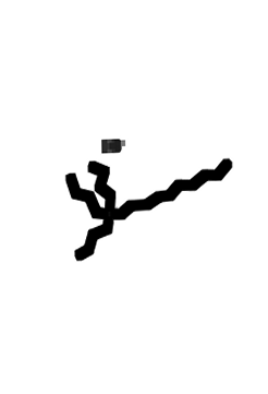 CCCCCCCCCC[P+](CCCC)(CCCC)CCCC.[OH-]